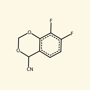 N#CC1OCOc2c1ccc(F)c2F